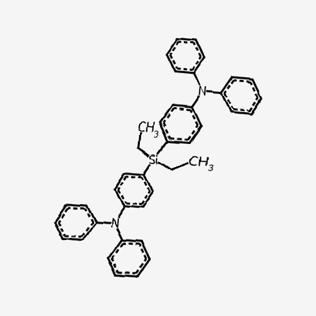 CC[Si](CC)(c1ccc(N(c2ccccc2)c2ccccc2)cc1)c1ccc(N(c2ccccc2)c2ccccc2)cc1